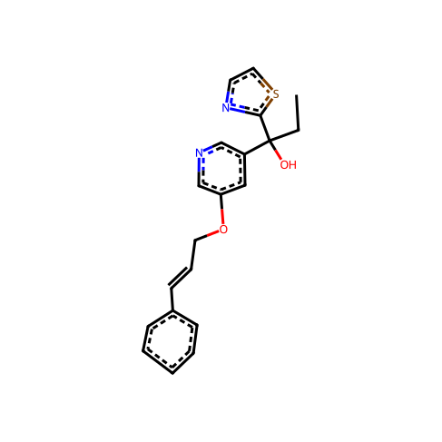 CCC(O)(c1cncc(OCC=Cc2ccccc2)c1)c1nccs1